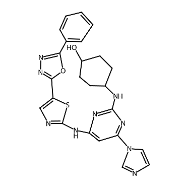 OC1CCC(Nc2nc(Nc3ncc(-c4nnc(-c5ccccc5)o4)s3)cc(-n3ccnc3)n2)CC1